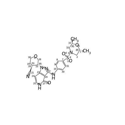 C[C@@H]1CN(S(=O)(=O)c2ccc(Nc3nn([C@H]4COCC[C@@H]4C#N)c4cc[nH]c(=O)c34)cc2)C[C@@H](C)O1